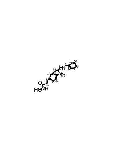 CCn1c(CNCc2ccccc2)nc2cc(/C=C/C(=O)NO)ccc21